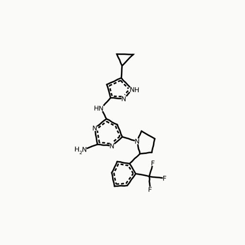 Nc1nc(Nc2cc(C3CC3)[nH]n2)cc(N2CCCC2c2ccccc2C(F)(F)F)n1